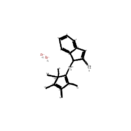 CCC1=Cc2ccccc2[CH]1[Zr+2][C]1=C(C)C(C)=C(C)C1(C)C.[Br-].[Br-]